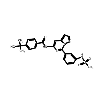 CC(C)(O)c1ccc(C(=O)Nc2cc3ccnn3c(-c3cccc(NS(C)(=O)=O)c3)n2)cc1